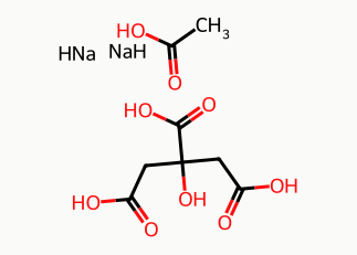 CC(=O)O.O=C(O)CC(O)(CC(=O)O)C(=O)O.[NaH].[NaH]